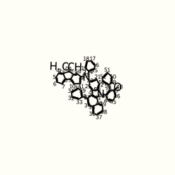 CC1(C)c2ccccc2-c2ccc(N(c3ccccc3)c3ccc4c(c3)c3c(-c5ccccc5)cc5ccccc5c3n4-c3cccc4oc5ccccc5c34)cc21